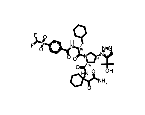 CC(C)(O)c1cnnn1[C@H]1C[C@@H](C(=O)NC2(C(=O)C(N)=O)CCCCC2)N(C(=O)[C@@H](CC2CCCCC2)NC(=O)c2ccc(S(=O)(=O)C(F)F)cc2)C1